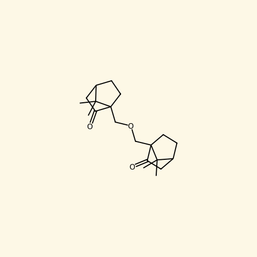 CC1(C)C2CCC1(COCC13CCC(CC1=O)C3(C)C)C(=O)C2